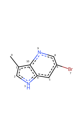 Cc1c[nH]c2cc(Br)cnc12